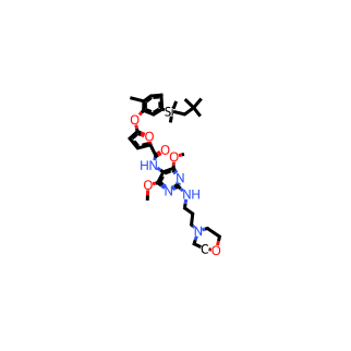 COc1nc(NCCCN2CCOCC2)nc(OC)c1NC(=O)c1ccc(Oc2cc([Si](C)(C)CC(C)(C)C)ccc2C)o1